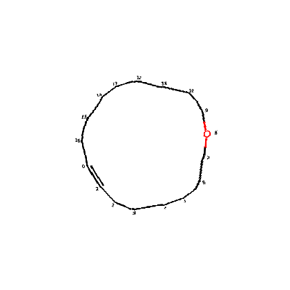 C1=CCCCCCCOCCCCCCCC1